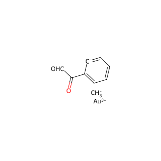 O=[C-]C(=O)c1[c-]cccc1.[Au+3].[CH3-]